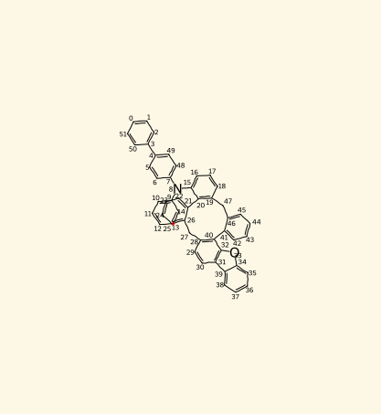 c1ccc(-c2ccc(N(c3ccccc3)c3cccc4c3-c3ccccc3Cc3ccc5c(oc6ccccc65)c3-c3ccccc3C4)cc2)cc1